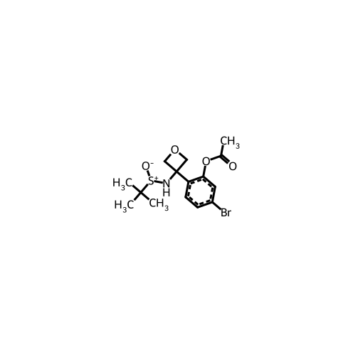 CC(=O)Oc1cc(Br)ccc1C1(N[S+]([O-])C(C)(C)C)COC1